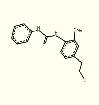 COc1cc(CC[O])ccc1NC(=O)Nc1ccccc1